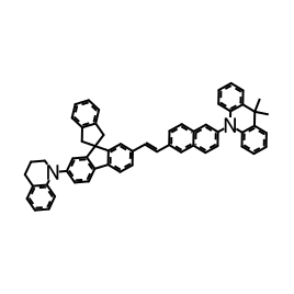 CC1(C)c2ccccc2N(c2ccc3cc(/C=C/c4ccc5c(c4)C4(Cc6ccccc6C4)c4cc(N6CCCc7ccccc76)ccc4-5)ccc3c2)c2ccccc21